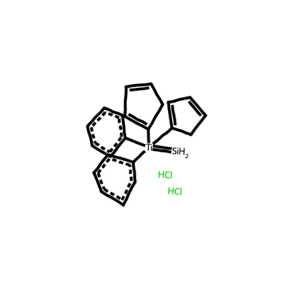 Cl.Cl.[SiH2]=[Ti]([C]1=CC=CC1)([C]1=CC=CC1)([c]1ccccc1)[c]1ccccc1